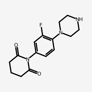 O=C1CCCC(=O)N1c1ccc(N2CCNCC2)c(F)c1